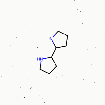 C1C[N]C(C2CCCN2)C1